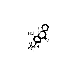 CS(=O)(=O)Nc1ccc2c(c1)C(=O)CC1(CCCCN1)O2.Cl